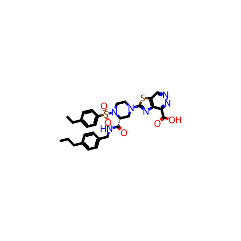 CCCc1ccc(CNC(=O)[C@H]2CN(c3nc4c(C(=O)O)nncc4s3)CCN2S(=O)(=O)c2ccc(CC)cc2)cc1